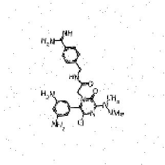 CNN(C)c1nc(Cl)c(-c2cc(N)cc(N)c2)n(CC(=O)NCc2ccc(C(=N)N)cc2)c1=O